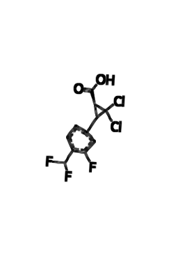 O=C(O)[C@@H]1C(c2ccc(C(F)F)c(F)c2)C1(Cl)Cl